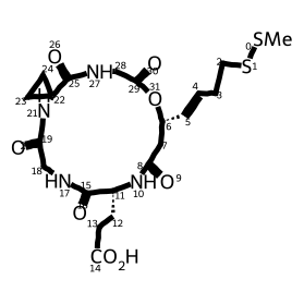 CSSCC/C=C/[C@@H]1CC(=O)N[C@H](CCC(=O)O)C(=O)NCC(=O)NC2(CC2)C(=O)NCC(=O)O1